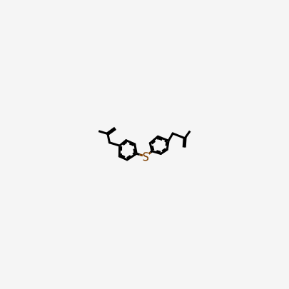 C=C(C)Cc1ccc(Sc2ccc(CC(=C)C)cc2)cc1